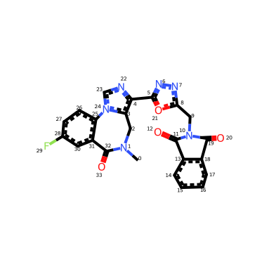 CN1Cc2c(-c3nnc(CN4C(=O)c5ccccc5C4=O)o3)ncn2-c2ccc(F)cc2C1=O